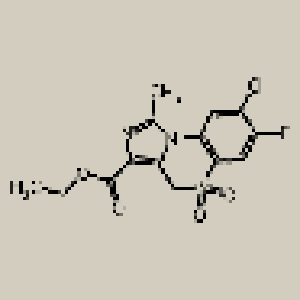 CCOC(=O)C1=C2CS(=O)(=O)c3cc(F)c(Cl)cc3[N+]2C(C)=N1